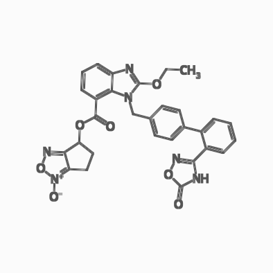 CCOc1nc2cccc(C(=O)OC3CCc4c3no[n+]4[O-])c2n1Cc1ccc(-c2ccccc2-c2noc(=O)[nH]2)cc1